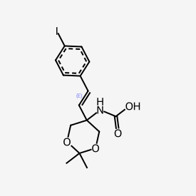 CC1(C)OCC(/C=C/c2ccc(I)cc2)(NC(=O)O)CO1